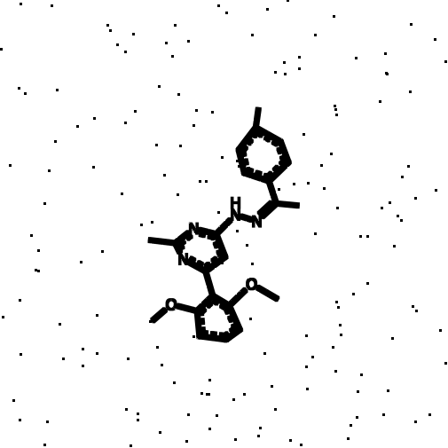 COc1cccc(OC)c1-c1cc(NN=C(C)c2ccc(C)cc2)nc(C)n1